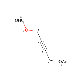 CC(=O)OCC#CCOC=O